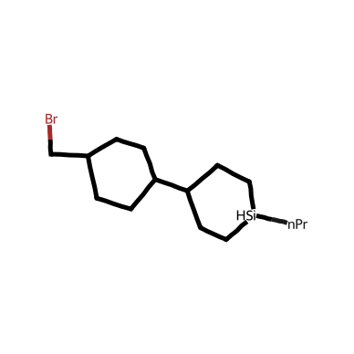 CCC[SiH]1CCC(C2CCC(CBr)CC2)CC1